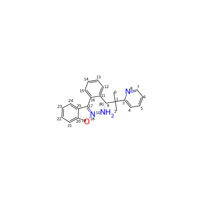 CC(C)(c1ccccn1)[C@H](N)c1ccccc1-c1noc2ccccc12